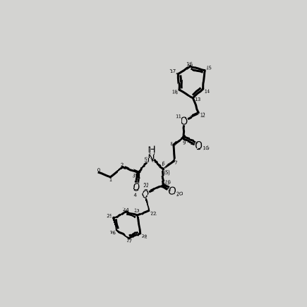 CCCC(=O)N[C@@H](CCC(=O)OCc1ccccc1)C(=O)OCc1ccccc1